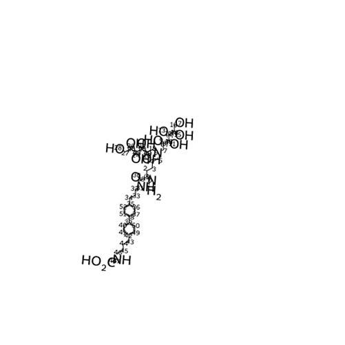 N[C@@H](CCCCN(C[C@H](O)[C@@H](O)[C@H](O)[C@H](O)CO)C[C@H](O)[C@@H](O)[C@H](O)[C@H](O)CO)C(=O)NCCCc1ccc(-c2ccc(CCCCNC(=O)O)cc2)cc1